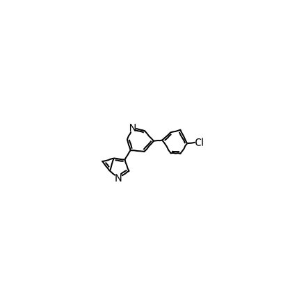 Clc1ccc(-c2cncc(-c3cnc4cc3-4)c2)cc1